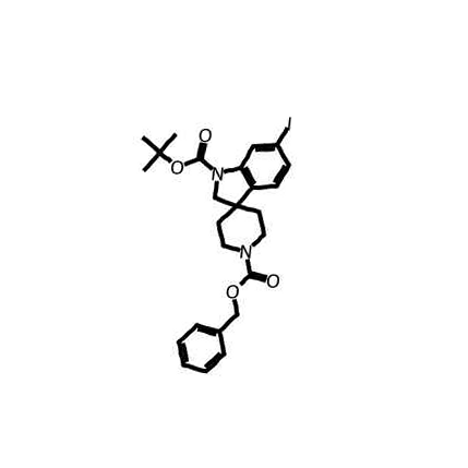 CC(C)(C)OC(=O)N1CC2(CCN(C(=O)OCc3ccccc3)CC2)c2ccc(I)cc21